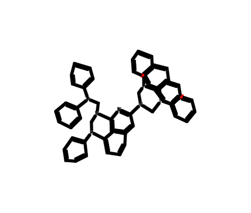 c1ccc(P(CN(CP(c2ccccc2)c2ccccc2)c2cccc(N(CP(c3ccccc3)c3ccccc3)CP(c3ccccc3)c3ccccc3)n2)c2ccccc2)cc1